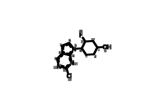 OC1CCC(n2ccc3cnc(Cl)nc32)C(F)C1